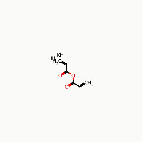 C=CC(=O)OC(=O)C=C.[KH].[LiH]